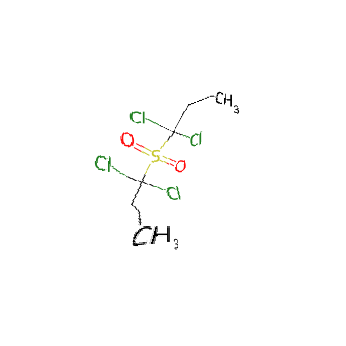 CCC(Cl)(Cl)S(=O)(=O)C(Cl)(Cl)CC